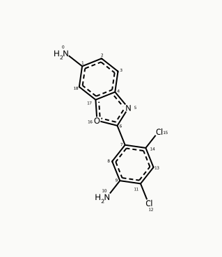 Nc1ccc2nc(-c3cc(N)c(Cl)cc3Cl)oc2c1